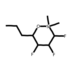 CCCC1O[Si](C)(C)C(F)C(F)C1F